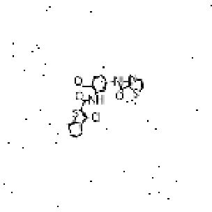 O=Cc1ccc(NC(=O)c2nccs2)cc1NC(=O)c1sc2ccccc2c1Cl